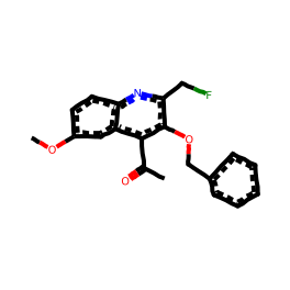 COc1ccc2nc(CF)c(OCc3ccccc3)c(C(C)=O)c2c1